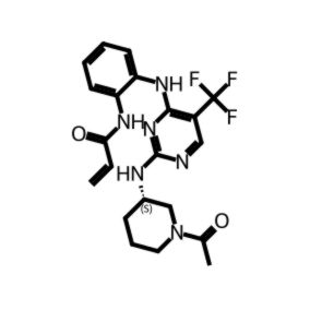 C=CC(=O)Nc1ccccc1Nc1nc(N[C@H]2CCCN(C(C)=O)C2)ncc1C(F)(F)F